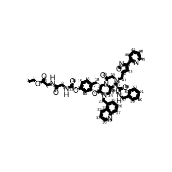 CCOC(=O)CNC(=O)CNC(=O)Oc1ccc(C[C@H]2C(=O)N(Cc3cccc4ncccc34)C[C@H]3N2C(=O)CN(Cc2cc(-c4ccccn4)no2)N3C(=O)NCc2ccccc2)cc1